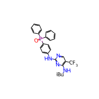 CCC(C)Nc1nc(Nc2ccc(P(=O)(c3ccccc3)c3ccccc3)cc2)ncc1C(F)(F)F